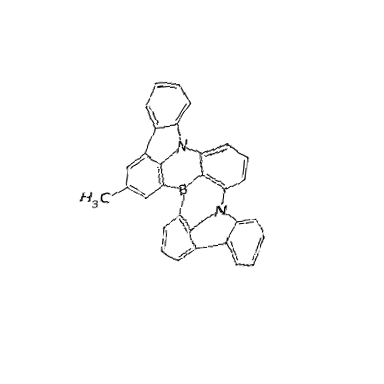 Cc1cc2c3c(c1)c1ccccc1n3-c1cccc3c1B2c1cccc2c4ccccc4n-3c12